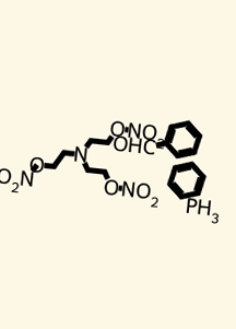 O=Cc1ccccc1.O=[N+]([O-])OCCN(CCO[N+](=O)[O-])CCO[N+](=O)[O-].P.c1ccccc1